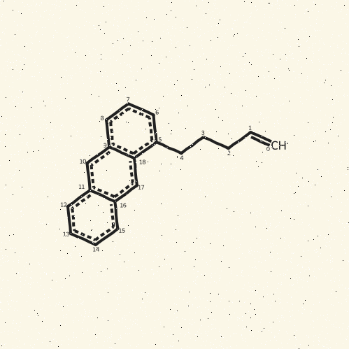 [CH]=CCCCc1cccc2cc3ccccc3cc12